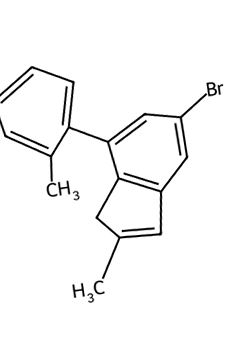 CC1=Cc2cc(Br)cc(-c3ccccc3C)c2C1